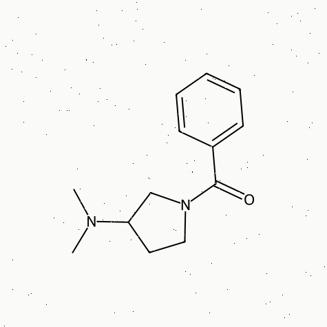 CN(C)C1CCN(C(=O)c2ccccc2)C1